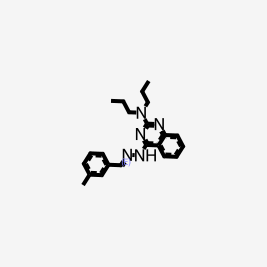 CCCN(CCC)c1nc(N/N=C/c2cccc(C)c2)c2ccccc2n1